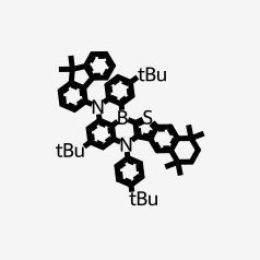 CC(C)(C)c1ccc(N2c3cc(C(C)(C)C)cc4c3B(c3cc(C(C)(C)C)ccc3N4c3cccc4c3-c3ccccc3C4(C)C)c3sc4cc5c(cc4c32)C(C)(C)CCC5(C)C)cc1